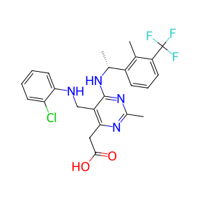 Cc1nc(CC(=O)O)c(CNc2ccccc2Cl)c(N[C@H](C)c2cccc(C(F)(F)F)c2C)n1